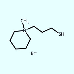 C[N+]1(CCCS)CCCCC1.[Br-]